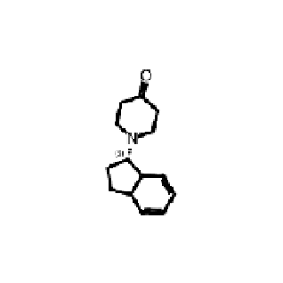 O=C1CCN([C@H]2CCC3C=CC=CC32)CC1